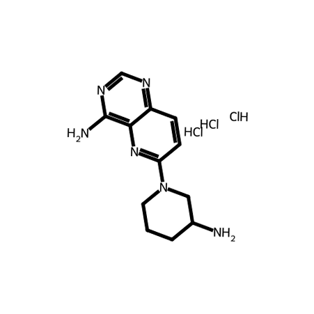 Cl.Cl.Cl.Nc1ncnc2ccc(N3CCCC(N)C3)nc12